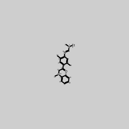 CCN(C)C=Nc1cc(C)c(C(=O)CN(C)c2ccccc2)cc1C